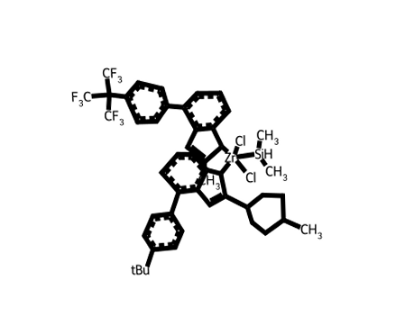 CC1=Cc2c(-c3ccc(C(C(F)(F)F)(C(F)(F)F)C(F)(F)F)cc3)cccc2[CH]1[Zr]([Cl])([Cl])([CH]1C(C2CCC(C)CC2)=Cc2c(-c3ccc(C(C)(C)C)cc3)cccc21)[SiH](C)C